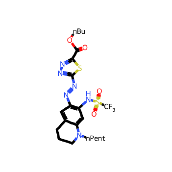 CCCCCN1CCCc2cc(N=Nc3nnc(C(=O)OCCCC)s3)c(NS(=O)(=O)C(F)(F)F)cc21